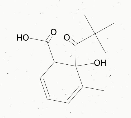 CC1=CC=CC(C(=O)O)C1(O)C(=O)C(C)(C)C